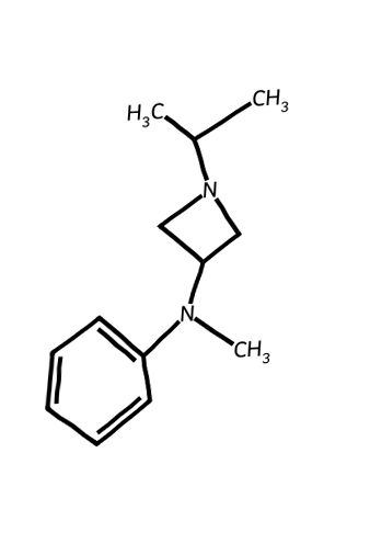 CC(C)N1CC(N(C)c2ccccc2)C1